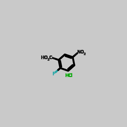 Cl.O=C(O)c1cc([N+](=O)[O-])ccc1F